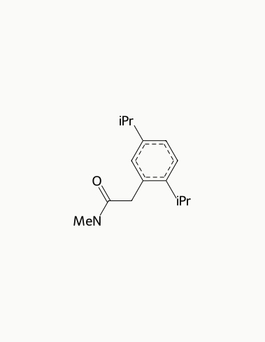 CNC(=O)Cc1cc(C(C)C)ccc1C(C)C